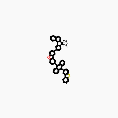 CC1(C)c2ccc(-c3ccc4oc5ccc(-c6c7ccccc7c(-c7ccc8sc9ccccc9c8c7)c7ccccc67)cc5c4c3)cc2-c2c1ccc1ccccc21